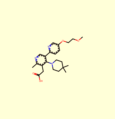 COCCOc1ccc(-c2cnc(C)c(CC(=O)O)c2N2CCC(C)(C)CC2)nc1